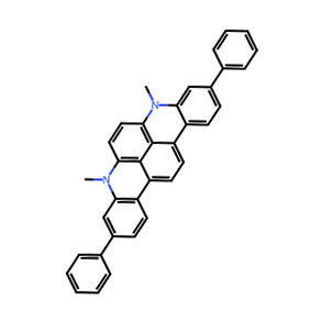 CN1c2cc(-c3ccccc3)ccc2-c2ccc3c4c(ccc1c24)N(C)c1cc(-c2ccccc2)ccc1-3